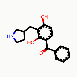 O=C(c1ccccc1)c1ccc(O)c(CC2CCNC2)c1O